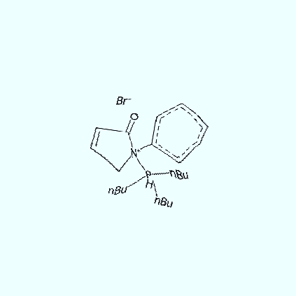 CCCC[PH](CCCC)(CCCC)[N+]1(c2ccccc2)CC=CC1=O.[Br-]